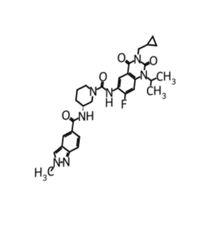 CC(C)n1c(=O)n(CC2CC2)c(=O)c2cc(NC(=O)N3CCC[C@@H](NC(=O)c4ccc5nn(C)cc5c4)C3)c(F)cc21